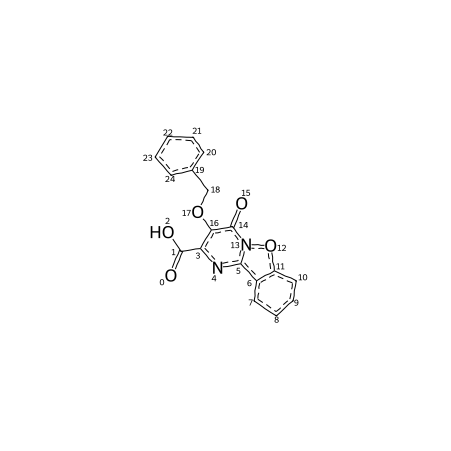 O=C(O)c1nc2c3ccccc3on2c(=O)c1OCc1ccccc1